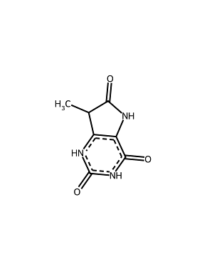 CC1C(=O)Nc2c1[nH]c(=O)[nH]c2=O